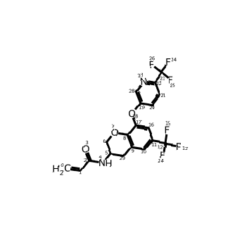 C=CC(=O)NC1COc2c(cc(C(F)(F)F)cc2Oc2ccc(C(F)(F)F)nc2)C1